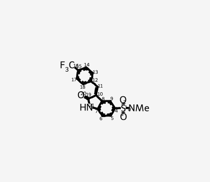 CNS(=O)(=O)c1ccc2c(c1)C(=Cc1ccc(C(F)(F)F)cc1)C(=O)N2